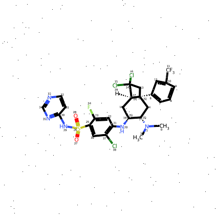 CN(C)[C@H]1C[C@]2(c3cccc(C(F)(F)F)c3)CC(Cl)(Cl)[C@@H]2C[C@@H]1Nc1cc(F)c(S(=O)(=O)Nc2ccncn2)cc1Cl